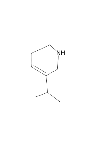 CC(C)C1=CCCNC1